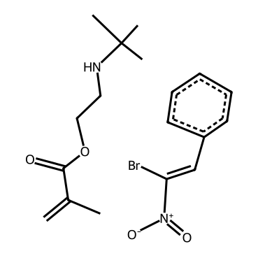 C=C(C)C(=O)OCCNC(C)(C)C.O=[N+]([O-])C(Br)=Cc1ccccc1